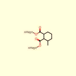 CCCCCCCOC(=O)C1CCCC(C)C1C(=O)OCCCCCCC